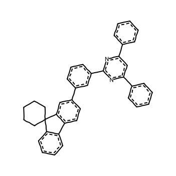 c1ccc(-c2cc(-c3ccccc3)nc(-c3cccc(-c4ccc5c(c4)C4(CCCCC4)c4ccccc4-5)c3)n2)cc1